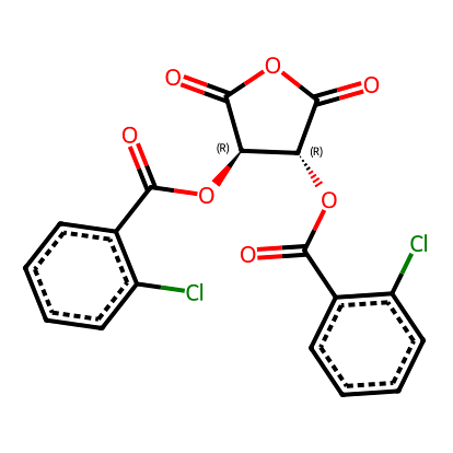 O=C(O[C@H]1C(=O)OC(=O)[C@@H]1OC(=O)c1ccccc1Cl)c1ccccc1Cl